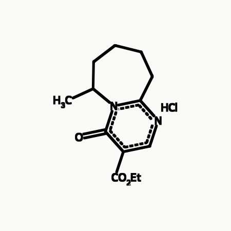 CCOC(=O)c1cnc2n(c1=O)C(C)CCCC2.Cl